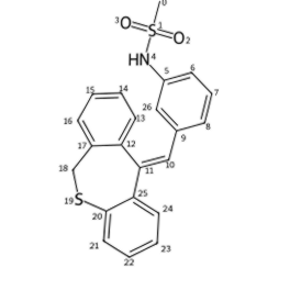 CS(=O)(=O)Nc1cccc(/C=C2\c3ccccc3CSc3ccccc32)c1